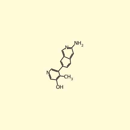 Cc1c(O)cncc1-c1ccc2cc(N)ncc2c1